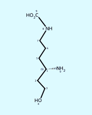 N[C@H](CCO)CCCNC(=O)O